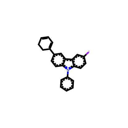 Ic1ccc2c(c1)c1cc(C3=CC=CCC3)ccc1n2-c1ccccc1